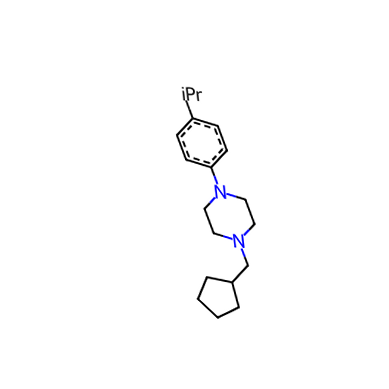 CC(C)c1ccc(N2CCN(CC3CCCC3)CC2)cc1